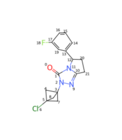 O=c1n(C23CC(Cl)(C2)C3)nc2n1C(c1cccc(F)c1)CC2